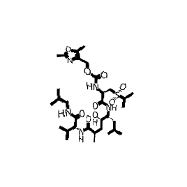 Cc1nc(COC(=O)N[C@@H](CS(=O)(=O)C(C)C)C(=O)N[C@H](CC(C)C)[C@@H](O)C[C@@H](C)C(=O)N[C@@H](C(=O)NCC(C)C)C(C)C)c(C)o1